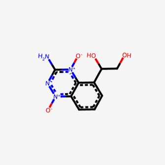 Nc1n[n+]([O-])c2cccc(C(O)CO)c2[n+]1[O-]